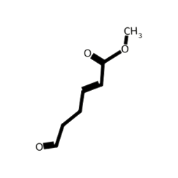 COC(=O)/C=C/CCC=O